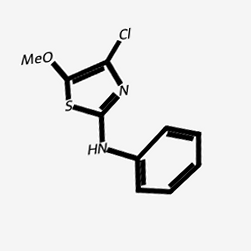 COc1sc(Nc2ccccc2)nc1Cl